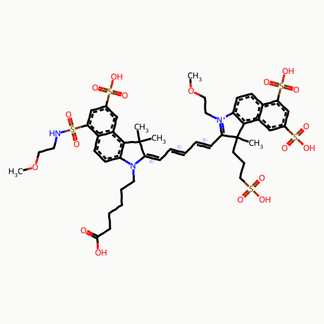 COCCNS(=O)(=O)c1cc(S(=O)(=O)O)cc2c3c(ccc12)N(CCCCCC(=O)O)/C(=C/C=C/C=C/C1=[N+](CCOC)c2ccc4c(S(=O)(=O)O)cc(S(=O)(=O)O)cc4c2C1(C)CCCS(=O)(=O)O)C3(C)C